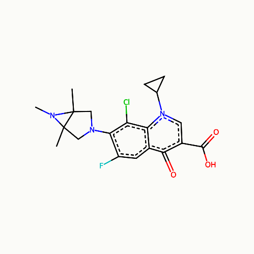 CN1C2(C)CN(c3c(F)cc4c(=O)c(C(=O)O)cn(C5CC5)c4c3Cl)CC12C